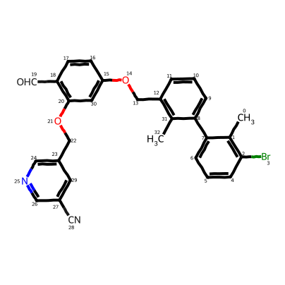 Cc1c(Br)cccc1-c1cccc(COc2ccc(C=O)c(OCc3cncc(C#N)c3)c2)c1C